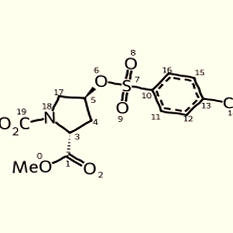 COC(=O)[C@H]1C[C@H](OS(=O)(=O)c2ccc(C)cc2)CN1C(=O)O